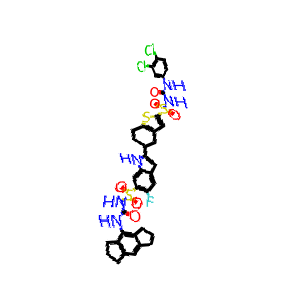 O=C(Nc1ccc(Cl)c(Cl)c1)NS(=O)(=O)c1cc2c(s1)CCC(c1cc3cc(F)c(S(=O)(=O)NC(=O)Nc4c5c(cc6c4CCC6)CCC5)cc3[nH]1)C2